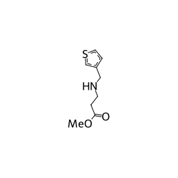 COC(=O)CCNCc1ccsc1